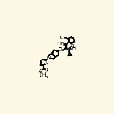 COC(=O)c1cccc(N2CC3CC(OC/C(C(=N)c4c(Cl)cccc4Cl)=C(/O)C4CC4)CC3C2)n1